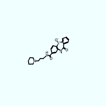 CN1C(=O)c2ccccc2[S+]([O-])c2ccc(C(=O)NCCCN3CCCCC3)cc21